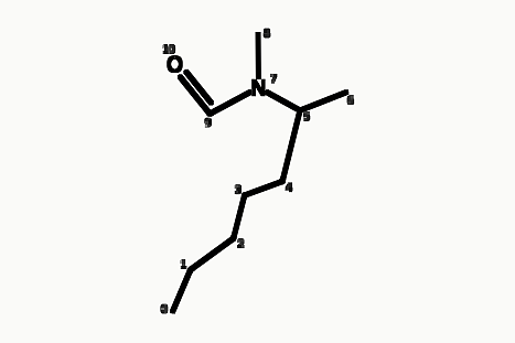 CCCCCC(C)N(C)C=O